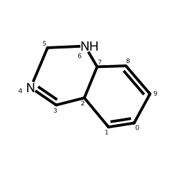 C1=CC2C=NCNC2C=C1